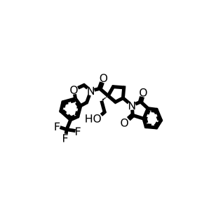 O=C1c2ccccc2C(=O)N1C1CC[C@](CCO)(C(=O)N2COc3ccc(C(F)(F)F)cc3C2)C1